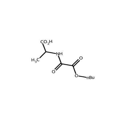 CCCCOC(=O)C(=O)NC(C)C(=O)O